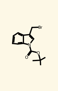 CC(C)(C)OC(=O)n1cc(CBr)c2ccccc21